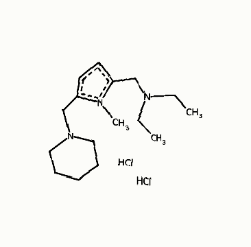 CCN(CC)Cc1ccc(CN2CCCCC2)n1C.Cl.Cl